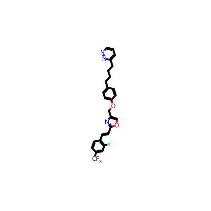 Fc1cc(C(F)(F)F)ccc1/C=C/c1nc(COc2ccc(CCCCc3cccnn3)cc2)co1